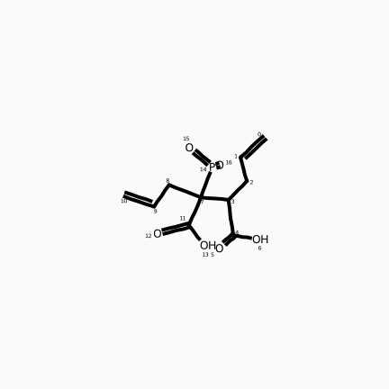 C=CCC(C(=O)O)C(CC=C)(C(=O)O)P(=O)=O